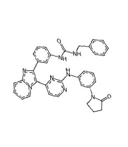 O=C(NCc1ccccc1)Nc1cccc(-c2nc3ccccn3c2-c2ccnc(Nc3cccc(N4CCCC4=O)c3)n2)c1